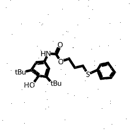 CC(C)(C)c1cc(NC(=O)OCCCSc2ccccc2)cc(C(C)(C)C)c1O